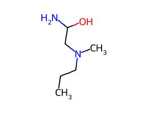 CCCN(C)CC(N)O